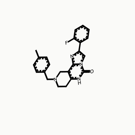 Cc1ccc(CN2CCc3[nH]c(=O)n4cc(-c5ccccc5F)nc4c3C2)cc1